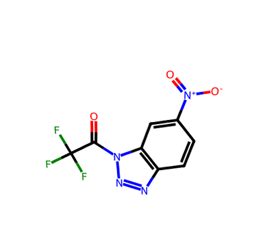 O=C(n1nnc2ccc([N+](=O)[O-])cc21)C(F)(F)F